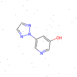 Oc1cncc(-n2nccn2)c1